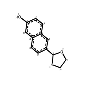 Oc1ccc2cc(C3OCCS3)ccc2c1